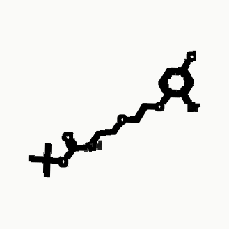 CC(C)(C)OC(=O)NCCOCCOc1ccc(Cl)cc1Br